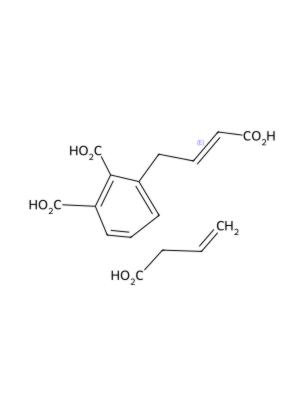 C=CCC(=O)O.O=C(O)/C=C/Cc1cccc(C(=O)O)c1C(=O)O